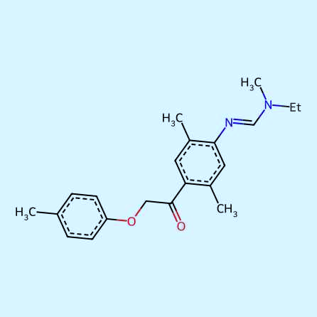 CCN(C)C=Nc1cc(C)c(C(=O)COc2ccc(C)cc2)cc1C